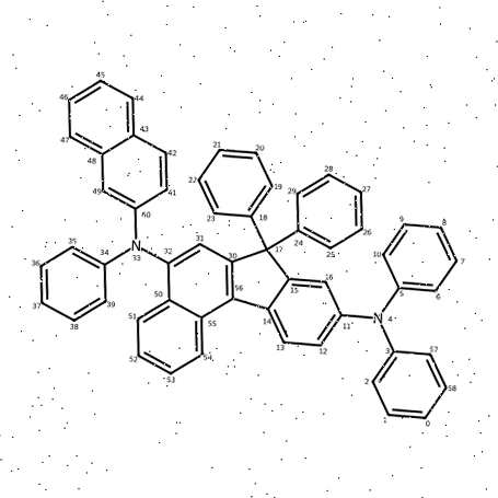 c1ccc(N(c2ccccc2)c2ccc3c(c2)C(c2ccccc2)(c2ccccc2)c2cc(N(c4ccccc4)c4ccc5ccccc5c4)c4ccccc4c2-3)cc1